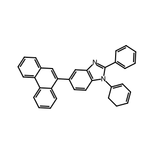 C1=CCCC(n2c(-c3ccccc3)nc3cc(-c4cc5ccccc5c5ccccc45)ccc32)=C1